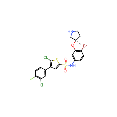 C[C@@]1(Oc2cc(NS(=O)(=O)c3cc(-c4ccc(F)c(Cl)c4)c(Cl)s3)ccc2Br)CCNC1